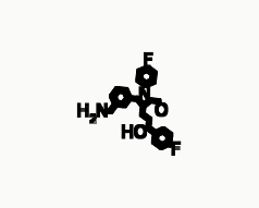 NCc1cccc(C2C(CCC(O)c3ccc(F)cc3)C(C=O)N2c2ccc(F)cc2)c1